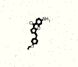 CCOc1ccc(C=C2CCc3c2oc2cc(N)ccc2c3=O)cc1